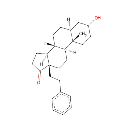 C[C@]12CC[C@@H](O)C[C@@H]1CC[C@H]1[C@@H]3CCC(=O)[C@@]3(CCc3ccccc3)CC[C@@H]12